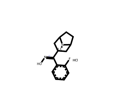 CN1C2CCC1CC(/C(=N/O)c1ccccc1F)C2.Cl